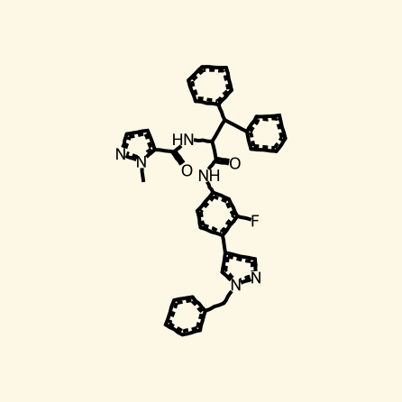 Cn1nccc1C(=O)NC(C(=O)Nc1ccc(-c2cnn(Cc3ccccc3)c2)c(F)c1)C(c1ccccc1)c1ccccc1